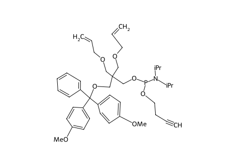 C#CCCOP(OCC(COCC=C)(COCC=C)COC(c1ccccc1)(c1ccc(OC)cc1)c1ccc(OC)cc1)N(C(C)C)C(C)C